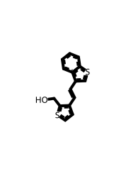 OCc1sccc1C=Cc1csc2ccccc12